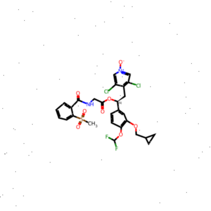 CS(=O)(=O)c1ccccc1C(=O)NCC(=O)O[C@@H](Cc1c(Cl)c[n+]([O-])cc1Cl)c1ccc(OC(F)F)c(OCC2CC2)c1